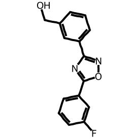 OCc1cccc(-c2noc(-c3cccc(F)c3)n2)c1